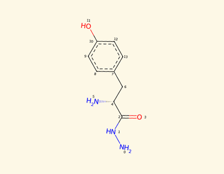 NNC(=O)[C@H](N)Cc1ccc(O)cc1